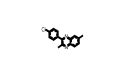 Cc1ccc2nc(C)c(-c3ccc(Cl)cc3)nc2c1